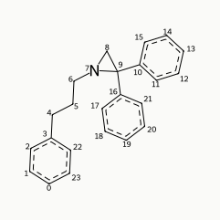 c1ccc(CCCN2CC2(c2ccccc2)c2ccccc2)cc1